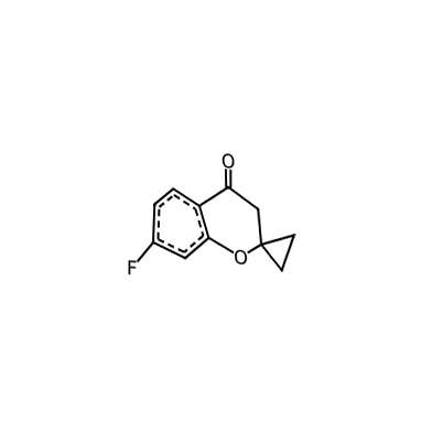 O=C1CC2(CC2)Oc2cc(F)ccc21